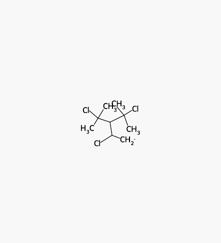 [CH2]C(Cl)C(C(C)(C)Cl)C(C)(C)Cl